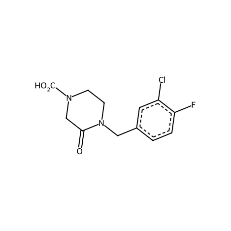 O=C(O)N1CCN(Cc2ccc(F)c(Cl)c2)C(=O)C1